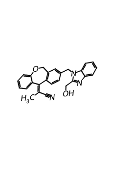 CC(C#N)=C1c2ccc(Cn3c(CO)nc4ccccc43)cc2COc2ccccc21